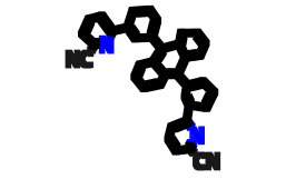 N#Cc1cccc(-c2cccc(-c3c4ccccc4c(-c4cccc(-c5cccc(C#N)n5)c4)c4ccccc34)c2)n1